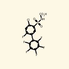 O=C(O)NS(=O)(=O)c1cc(-c2c(F)c(F)c(F)c(F)c2F)c(F)cc1Cl